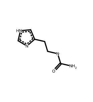 NC(=O)[N]CCc1c[nH]cn1